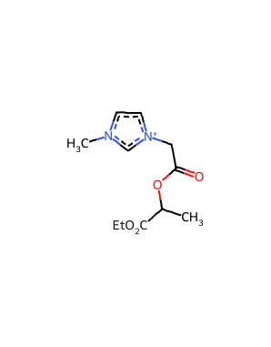 CCOC(=O)C(C)OC(=O)C[n+]1ccn(C)c1